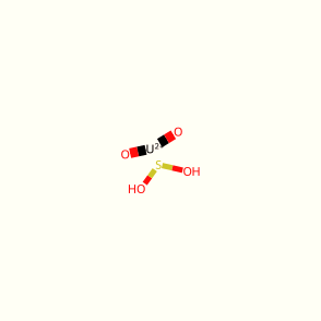 OSO.[O]=[U+2]=[O]